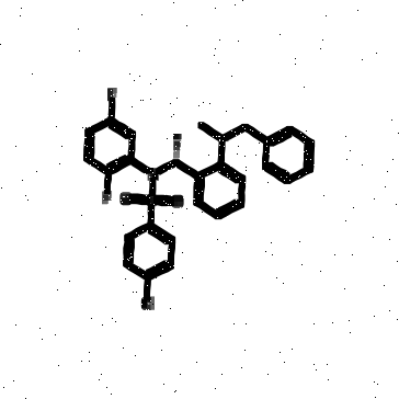 C[C](Cc1ccccc1)c1ccccc1[C@@H](C)N(c1cc(F)ccc1F)S(=O)(=O)c1ccc(Cl)cc1